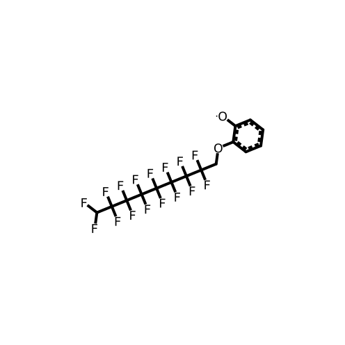 [O]c1ccccc1OCC(F)(F)C(F)(F)C(F)(F)C(F)(F)C(F)(F)C(F)(F)C(F)(F)C(F)F